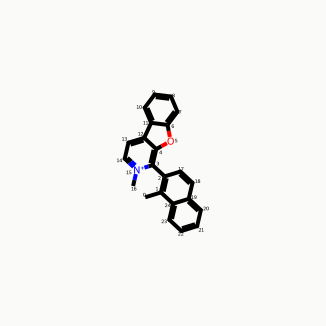 Cc1c(-c2c3oc4ccccc4c3cc[n+]2C)ccc2ccccc12